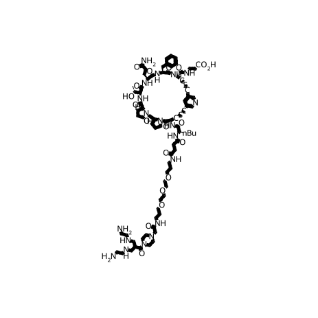 CCCC[C@H](NC(=O)CCC(=O)NCCCOCCOCCOCCCNC(=O)CN1CCN(C(=O)C(CNCCN)CNCCN)CC1)C(=O)N[C@H]1CSCc2cncc(c2)CSC[C@@H](C(=O)NCCC(=O)O)NC(=O)[C@H](Cc2ccccc2)NC(=O)[C@H](CCC(N)=O)NC(=O)[C@H]([C@@H](C)O)NC(=O)[C@@H]2CCCN2C(=O)[C@@H]2CCCN2C1=O